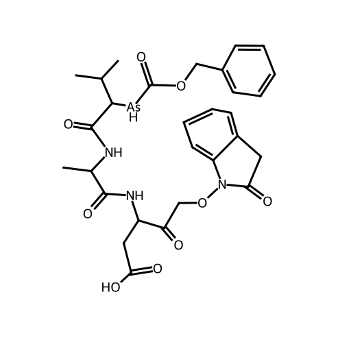 CC(NC(=O)C([AsH]C(=O)OCc1ccccc1)C(C)C)C(=O)NC(CC(=O)O)C(=O)CON1C(=O)Cc2ccccc21